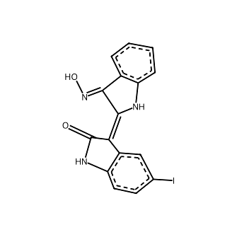 O=C1Nc2ccc(I)cc2C1=C1Nc2ccccc2C1=NO